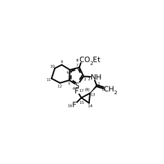 C=C(Nc1sc2c(c1C(=O)OCC)CCCC2)[C@H]1CC1(F)F